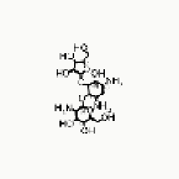 NC1C(O)[C@H](O)C(CO)O[C@@H]1O[C@@H]1C(N)C[C@@H](N)[C@@H](O)C1O[C@@H]1O[C@H](CO)C(O)C1O